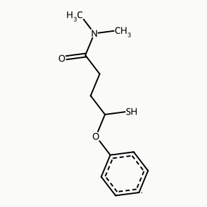 CN(C)C(=O)CCC(S)Oc1cc[c]cc1